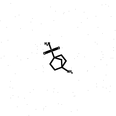 NC12CCC(S(N)(=O)=O)(CC1)C2